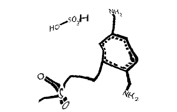 CS(=O)(=O)CCc1cc(N)ccc1N.O=S(=O)(O)O